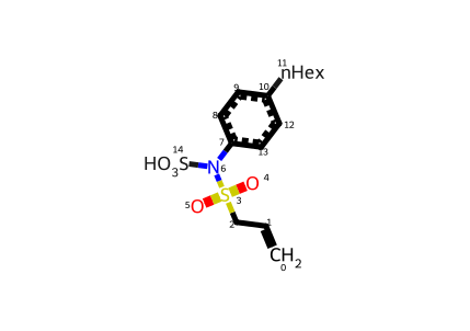 C=CCS(=O)(=O)N(c1ccc(CCCCCC)cc1)S(=O)(=O)O